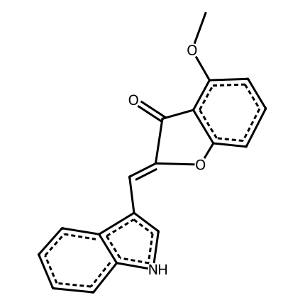 COc1cccc2c1C(=O)/C(=C/c1c[nH]c3ccccc13)O2